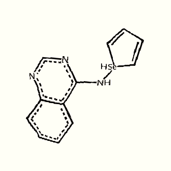 C1=C[SeH](Nc2ncnc3ccccc23)C=C1